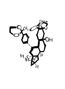 COC1OC12CC1=C3[C@@H](CC[C@@]1(O)CC21OCCO1)[C@@H]1C[C@H]2C[C@H]2[C@@]1(C)C[C@@H]3c1ccc(C2(C)OCCO2)cc1